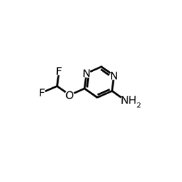 Nc1cc(OC(F)F)ncn1